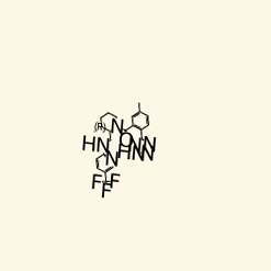 Cc1ccc(-c2nn[nH]n2)c(C(=O)N2CCC[C@@H](C)C2CNc2ccc(C(F)(F)F)cn2)c1